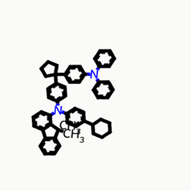 CC1(C)c2ccccc2-c2cccc(N(c3ccc(C4CCCCC4)cc3)c3ccc(C4(c5ccc(N(c6ccccc6)c6ccccc6)cc5)CCCC4)cc3)c21